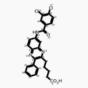 O=C(O)CCCCc1nc2cc(NC(=O)c3ccc(Cl)c(Cl)c3)ccc2nc1-c1ccccc1